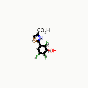 O=C(O)c1csc(-c2cc(F)c(F)c(O)c2F)n1